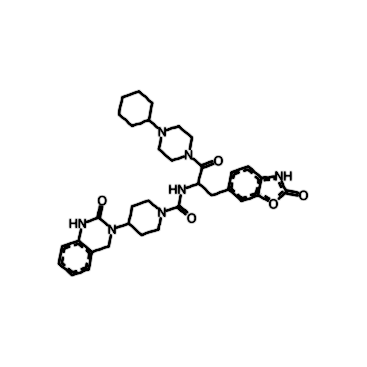 O=C(NC(Cc1ccc2[nH]c(=O)oc2c1)C(=O)N1CCN(C2CCCCC2)CC1)N1CCC(N2Cc3ccccc3NC2=O)CC1